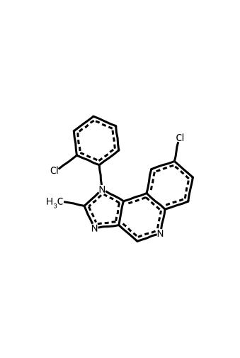 Cc1nc2cnc3ccc(Cl)cc3c2n1-c1ccccc1Cl